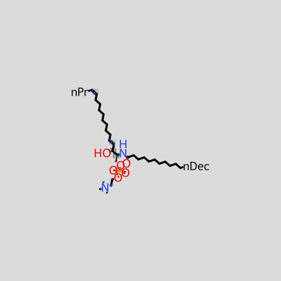 CCC/C=C\CCCCCCCC/C=C/[C@@H](O)[C@H](COP(=O)([O-])OCC[N+](C)(C)C)NC(=O)CCCCCCCCCCCCCCCCCCCC